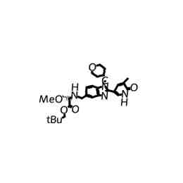 COC[C@H](NCc1ccc2c(c1)nc(-c1c[nH]c(=O)c(C)c1)n2CC1CCOCC1)C(=O)OCC(C)(C)C